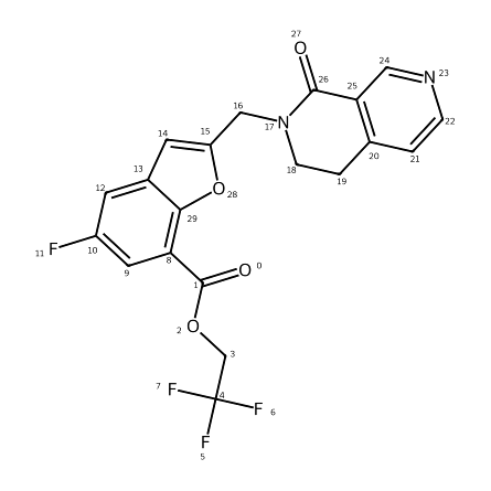 O=C(OCC(F)(F)F)c1cc(F)cc2cc(CN3CCc4ccncc4C3=O)oc12